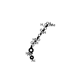 COC(C)(C)CCOCCC(=O)NCCOCCC(=O)NCCNC(=O)OCC1C2CCC(=N)/C(=C\NC3CC=C(C(C)=O)CC3)CCC21